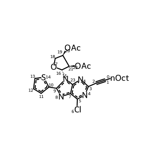 CCCCCCCCC#Cc1nc(Cl)c2nc(-c3cccs3)n([C@@H]3OC[C@@H](OC(C)=O)[C@H]3OC(C)=O)c2n1